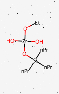 CCC[Si](CCC)(CCC)[O][Zr]([OH])([OH])[O]CC